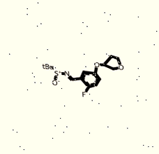 CC(C)(C)[S@@+]([O-])N=Cc1cc(OC2CCOC2)ccc1F